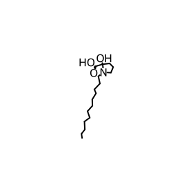 CCCCCCCCCCCCN1CCCC1(O)C(=O)O